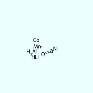 [AlH3].[Co].[LiH].[Mn].[Ni].[O]=[Zr]